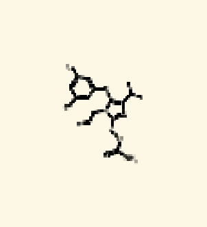 C=CCn1c(COC(N)=O)nc(C(C)C)c1Sc1cc(Cl)cc(Cl)c1